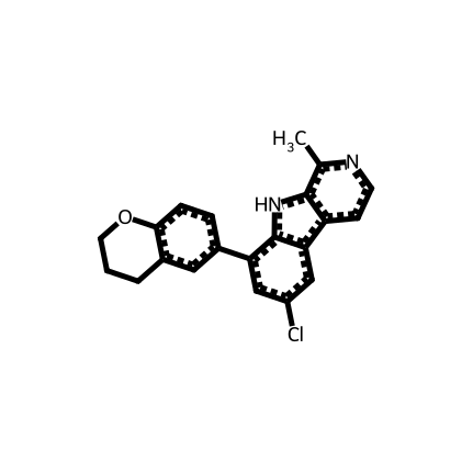 Cc1nccc2c1[nH]c1c(-c3ccc4c(c3)CCCO4)cc(Cl)cc12